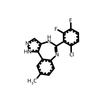 Cc1ccc2c(c1)-c1[nH]ncc1NC(c1c(Cl)ccc(F)c1F)=N2